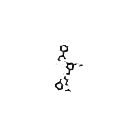 CCNc1cc(C(=O)N[C@@H](Cc2ccccc2)[C@@H](O)CNC(C)C)cc(N2CC(c3ccccc3)CCS2(O)O)c1